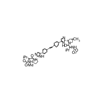 COC(=O)N[C@H](C(=O)N1CCC[C@H]1c1ncc(-c2ccc(C#Cc3ccc(-c4cnc([C@@H]5C[C@H](C)CN5C(=O)[C@@H](NC5OCO5)C(C)C)[nH]4)cc3)cc2)[nH]1)C(C)C